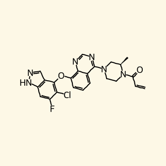 C=CC(=O)N1CCN(c2ncnc3c(Oc4c(Cl)c(F)cc5[nH]ncc45)cccc23)C[C@H]1C